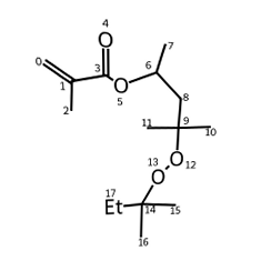 C=C(C)C(=O)OC(C)CC(C)(C)OOC(C)(C)CC